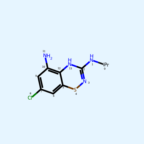 CC(C)NC1=NSc2cc(Cl)cc(N)c2N1